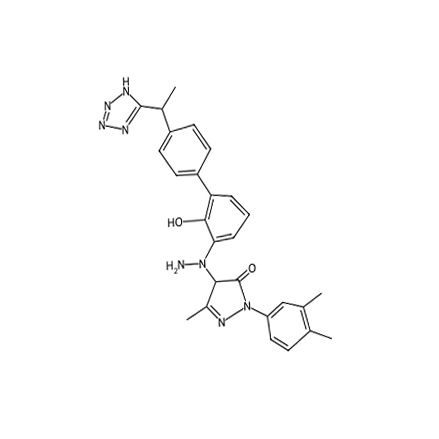 CC1=NN(c2ccc(C)c(C)c2)C(=O)C1N(N)c1cccc(-c2ccc(C(C)c3nnn[nH]3)cc2)c1O